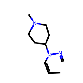 C=NN(/C=C\C)C1CCN(C)CC1